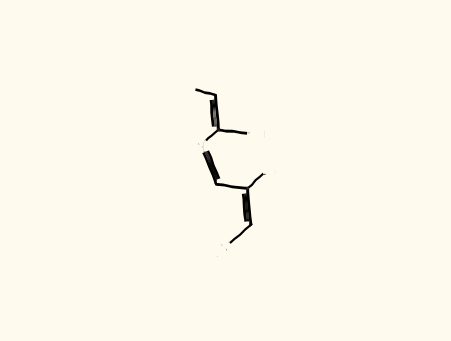 C\C=C(C)/N=C\C(=C/N)C(C)C